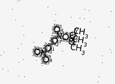 CCO[Si](C)(OCC)c1ccc(N(c2ccccc2)c2ccc(-c3ccc(N(c4ccccc4)c4ccccc4)cc3)cc2)cc1